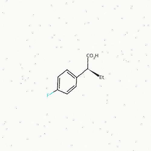 CC[C@H](C(=O)O)c1ccc(F)cc1